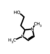 CN1C=CN(C)C1CCO